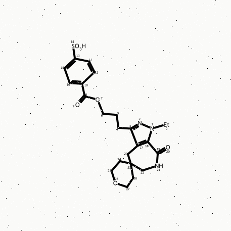 CCn1nc(CCCOC(=O)c2ccc(S(=O)(=O)O)cc2)c2c1C(=O)NCC1(CCOCC1)C2